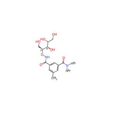 CCCN(CCC)C(=O)c1cc(C)cc(C(=O)NO[C@@H](CO)[C@H](O)C(O)CO)c1